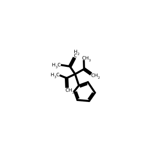 C=C(C)C(C(=C)C)(C(=C)C)c1ccccc1